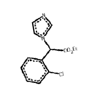 CCOC(=O)C(c1ccccc1Cl)n1ccnc1